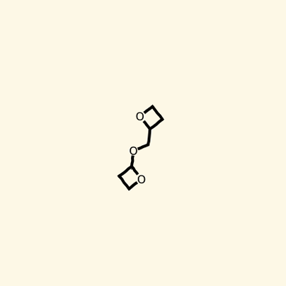 C1C[C](OCC2CCO2)O1